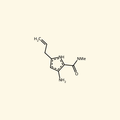 C=CCc1cc(N)c(C(=O)NC)[nH]1